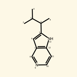 CC(C)C(C)c1cc2cnccc2[nH]1